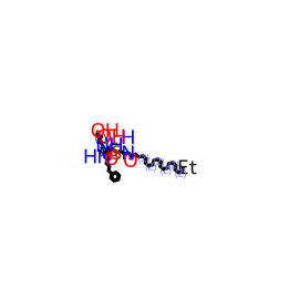 CC/C=C\C/C=C\C/C=C\C/C=C\C/C=C\C/C=C\CCC(=O)NCCSSC(C)(C)[C@@H](CNC[C@@H](O)CO)NC(=O)CCCc1ccccc1